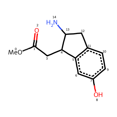 COC(=O)CC1c2cc(O)ccc2CC1N